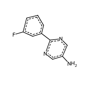 Nc1cnc(-c2cccc(F)c2)nc1